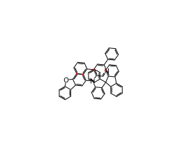 c1ccc(-c2cc(-c3ccccc3)c(N(c3ccc4oc5ccccc5c4c3)c3ccccc3C3(c4ccccc4)c4ccccc4-c4ccccc43)cn2)cc1